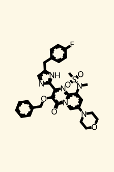 CN(c1cc(N2CCOCC2)cn2c(=O)c(OCc3ccccc3)c(-c3ncc(Cc4ccc(F)cc4)[nH]3)nc12)S(C)(=O)=O